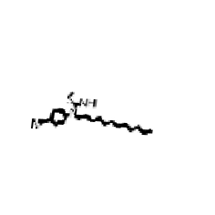 CCCCCCCCCCCCN(C(=N)SC)c1ccc(C#N)cc1